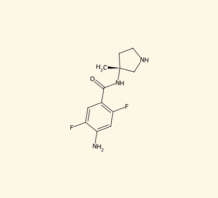 C[C@@]1(NC(=O)c2cc(F)c(N)cc2F)CCNC1